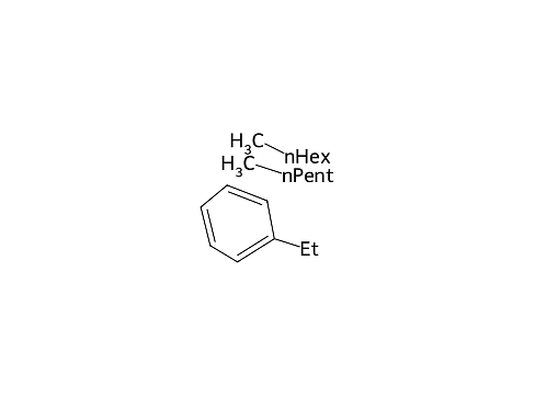 CCCCCC.CCCCCCC.CCc1ccccc1